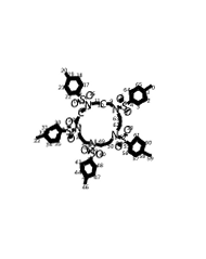 Cc1ccc(S(=O)(=O)N2CCCN(S(=O)(=O)c3ccc(C)cc3)CCN(S(=O)(=O)c3ccc(C)cc3)CCN(S(=O)(=O)c3ccc(C)cc3)CCN(S(=O)(=O)c3ccc(C)cc3)CC2)cc1